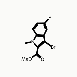 COC(=O)c1c(Br)c2cc(F)ccc2n1C